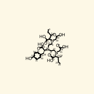 CCC(C)C(C(=O)O)N(CCN(CCN(CC(=O)O)[C@H](C(=O)O)[C@@H](C)CC)[C@@H](Cc1ccc(O)cc1)C(=O)O)CC(=O)O